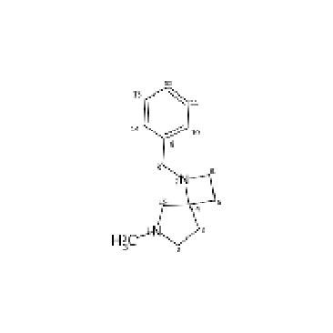 CN1CCC2(CCN2Cc2ccccc2)C1